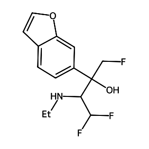 CCNC(C(F)F)C(O)(CF)c1ccc2ccoc2c1